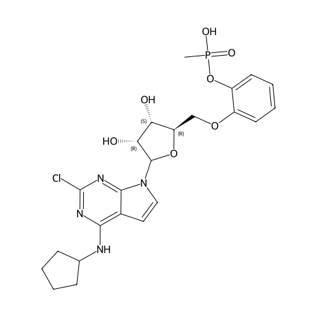 CP(=O)(O)Oc1ccccc1OC[C@H]1OC(n2ccc3c(NC4CCCC4)nc(Cl)nc32)[C@H](O)[C@@H]1O